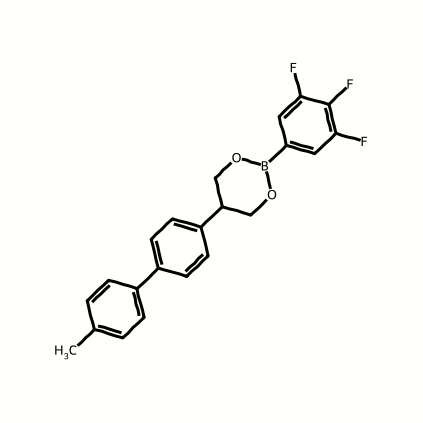 Cc1ccc(-c2ccc(C3COB(c4cc(F)c(F)c(F)c4)OC3)cc2)cc1